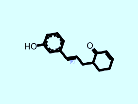 O=C1C=CCCC1C/C=C/c1cccc(O)c1